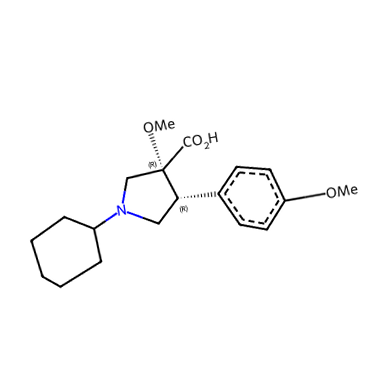 COc1ccc([C@@H]2CN(C3CCCCC3)C[C@@]2(OC)C(=O)O)cc1